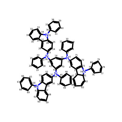 C1=CC2c3cc(N(c4ccccc4)c4cc(N(c5ccccc5)c5ccc6c(c5)c5ccccc5n6-c5ccccc5)cc(N(c5ccccc5)c5ccc6c(c5)c5ccccc5n6-c5ccccc5)c4)ccc3N(c3ccccc3)C2C=C1